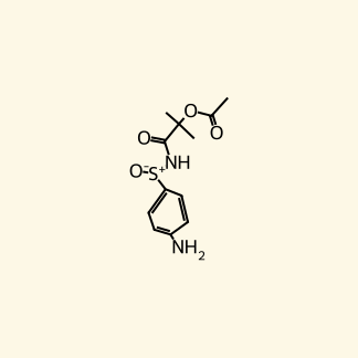 CC(=O)OC(C)(C)C(=O)N[S+]([O-])c1ccc(N)cc1